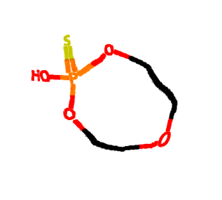 OP1(=S)OCCOCCO1